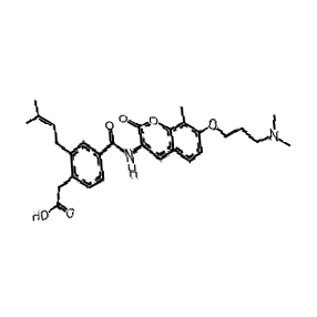 CC(C)=CCc1cc(C(=O)Nc2cc3ccc(OCCCN(C)C)c(C)c3oc2=O)ccc1CC(=O)O